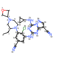 CC[C@H]1CN(C2COC2)CCN1c1cc(C#N)cc(Nc2nc(NC3CC3)n3ncc(C#N)c3n2)c1Cl